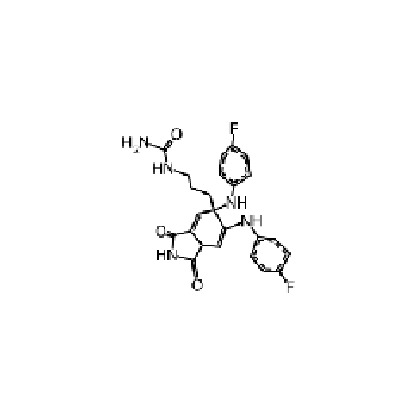 NC(=O)NCCCC1(Nc2ccc(F)cc2)C=C2C(=O)NC(=O)C2C=C1Nc1ccc(F)cc1